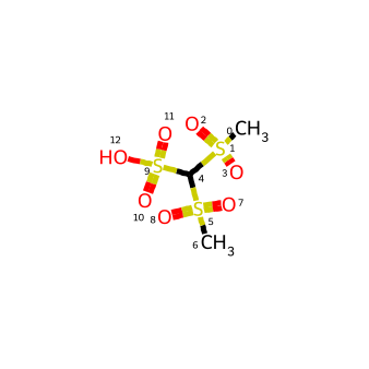 CS(=O)(=O)C(S(C)(=O)=O)S(=O)(=O)O